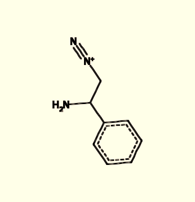 N#[N+]CC(N)c1ccccc1